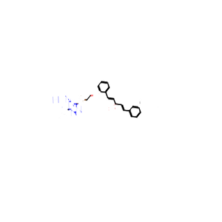 Cc1cccc(C=CC(=O)C=Cc2ccccc2OCCSc2nnc(C)n2N)c1